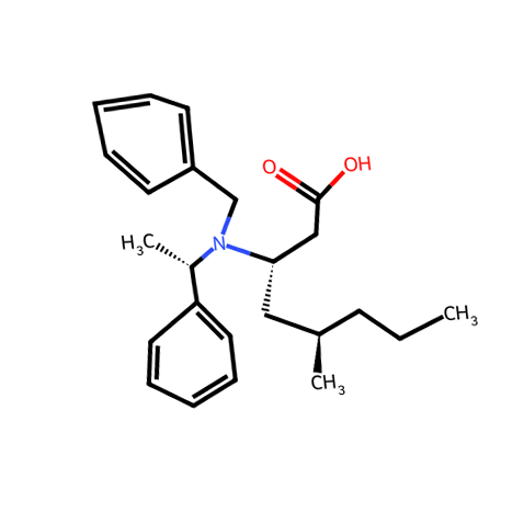 CCC[C@@H](C)C[C@@H](CC(=O)O)N(Cc1ccccc1)[C@@H](C)c1ccccc1